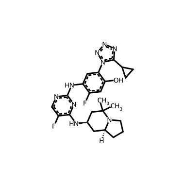 CC1(C)C[C@H](Nc2nc(Nc3cc(-n4nnnc4C4CC4)c(O)cc3F)ncc2F)C[C@@H]2CCCN21